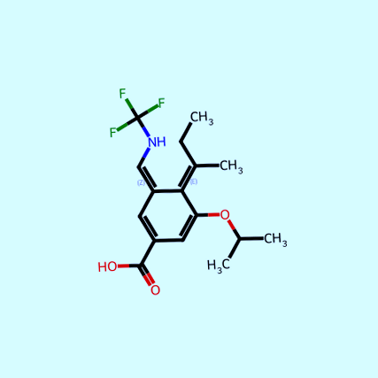 CC/C(C)=c1/c(OC(C)C)cc(C(=O)O)c/c1=C/NC(F)(F)F